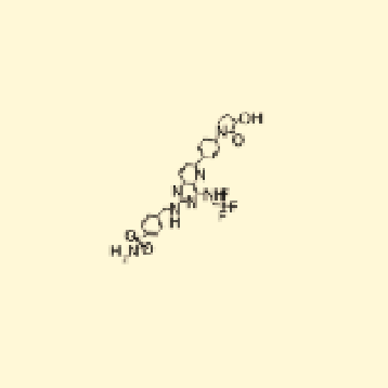 NS(=O)(=O)c1ccc(CNc2nc(NCC(F)(F)F)c3nc(-c4ccc(N5CCC(O)C5=O)cc4)ccc3n2)cc1